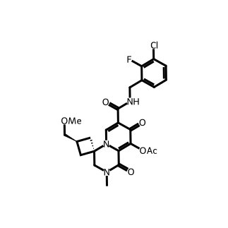 COC[C@H]1C[C@]2(CN(C)C(=O)c3c(OC(C)=O)c(=O)c(C(=O)NCc4cccc(Cl)c4F)cn32)C1